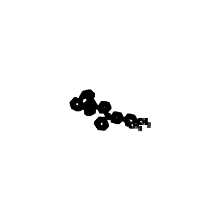 C/C=C(\C=C/CC)c1ccc(N(c2ccccc2)c2cccc(-c3ccc4c(c3)-c3c5cccc3C3C=CC=C4C3c3ccccc3-5)c2)cc1